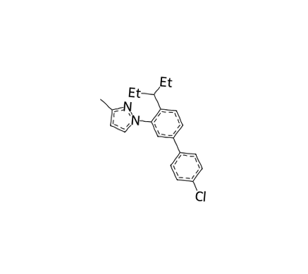 CCC(CC)c1ccc(-c2ccc(Cl)cc2)cc1-n1ccc(C)n1